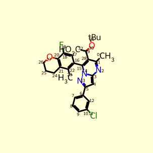 Cc1nc2cc(-c3cccc(Cl)c3)nn2c(-c2cc(F)c3c(c2C)CCCO3)c1C(OC(C)(C)C)C(=O)O